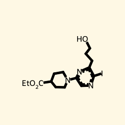 CCOC(=O)C1CCN(c2cnc(I)c(CCCO)n2)CC1